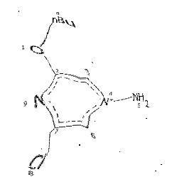 CCCCOc1c[n+](N)cc(Cl)n1